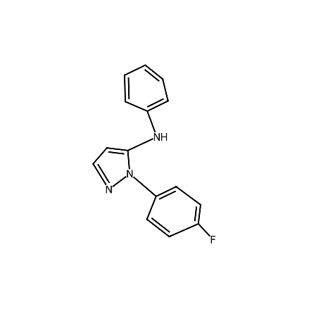 Fc1ccc(-n2nccc2Nc2ccccc2)cc1